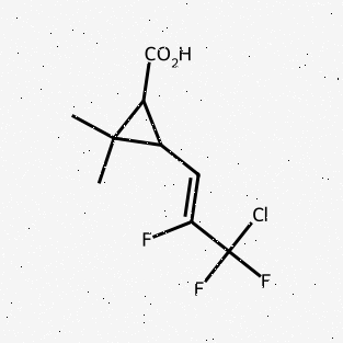 CC1(C)C(C=C(F)C(F)(F)Cl)C1C(=O)O